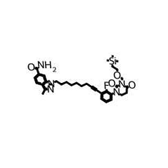 Cc1nn(CCCCCCCC#Cc2cccc(N3CCC(=O)N(COCC[Si](C)(C)C)C3=O)c2F)c2cc(C(N)=O)ccc12